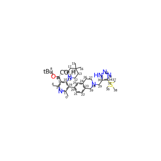 Cc1nc(C)c([C@H](OC(C)(C)C)C(=O)O)c(N2CCC(C)(C)CC2)c1-c1ccc2c(c1)CCN(Cc1[nH]nnc1S(C)(C)C)C2